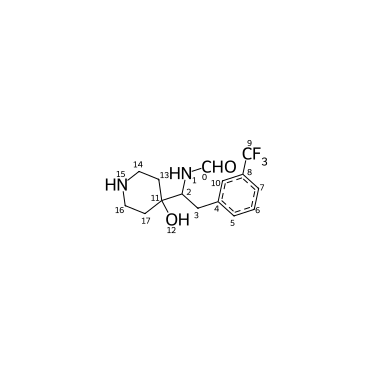 O=CNC(Cc1cccc(C(F)(F)F)c1)C1(O)CCNCC1